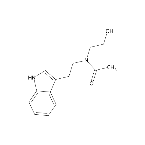 CC(=O)N(CCO)CCc1c[nH]c2ccccc12